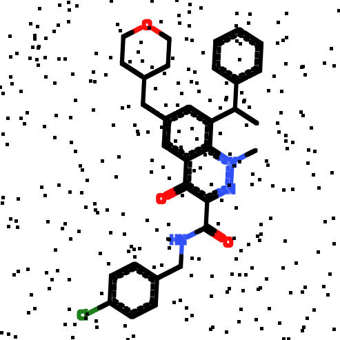 CC(c1ccccc1)c1cc(CC2CCOCC2)cc2c(=O)c(C(=O)NCc3ccc(Cl)cc3)nn(C)c12